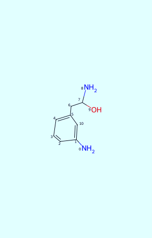 Nc1cccc(CC(N)O)c1